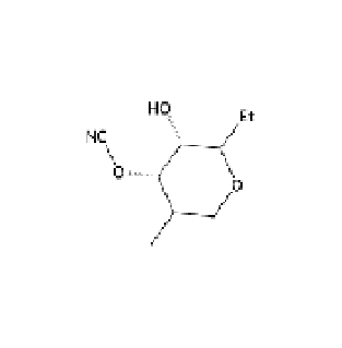 CCC1OCC(C)[C@H](OC#N)[C@@H]1O